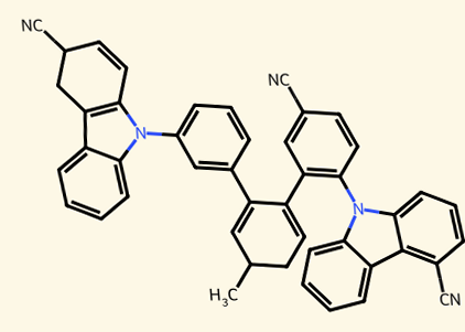 CC1C=C(c2cccc(-n3c4c(c5ccccc53)CC(C#N)C=C4)c2)C(c2cc(C#N)ccc2-n2c3ccccc3c3c(C#N)cccc32)=CC1